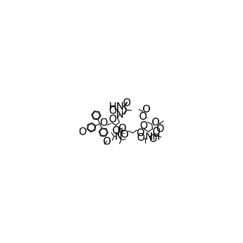 COc1ccc(C(OC[C@H]2O[C@@H](n3cc(C)c(=O)[nH]c3=O)C[C@@H]2OP(=O)(OCCCO[C@@H]2O[C@H](COC(C)=O)[C@@H](OC(C)=O)[C@H](OC(C)=O)[C@H]2NC(C)=O)N(C(C)C)C(C)C)(c2ccccc2)c2ccc(OC)cc2)cc1